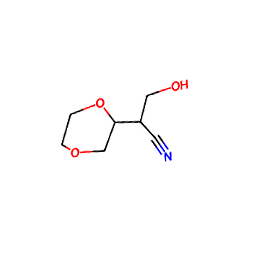 N#CC(CO)C1COCCO1